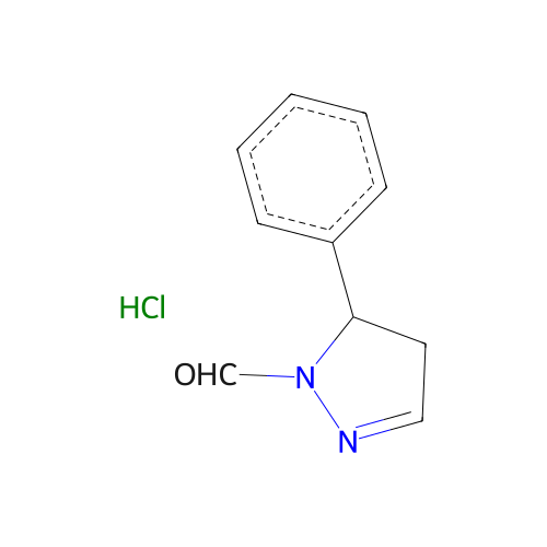 Cl.O=CN1N=CCC1c1ccccc1